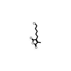 CC1=C(CCCCCCl)C(=O)OC1=O